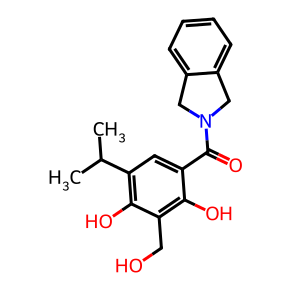 CC(C)c1cc(C(=O)N2Cc3ccccc3C2)c(O)c(CO)c1O